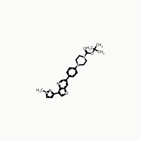 Cn1ccc(-c2coc3cc(-c4ccc(N5CCN(C(=O)OC(C)(C)C)CC5)cc4)cnc23)n1